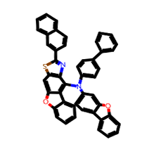 c1ccc(-c2ccc(N(c3ccc4c(c3)oc3ccccc34)c3c4nc(-c5ccc6ccccc6c5)sc4cc4oc5ccccc5c34)cc2)cc1